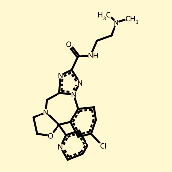 CN(C)CCNC(=O)c1nc2n(n1)-c1ccc(Cl)cc1C1(c3ccccn3)OCCN1C2